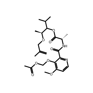 C=C(C)CO[C@@H](C)C(OC(=O)[C@H](C)NC(=O)c1nccc(OC)c1OCOC(C)=O)C(C)C